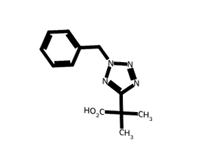 CC(C)(C(=O)O)c1nnn(Cc2ccccc2)n1